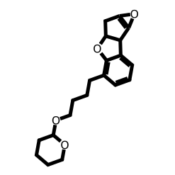 c1cc(CCCCOC2CCCCO2)c2c(c1)C1C3=C(CC1O2)O3